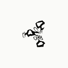 CC(NC(=O)c1cc(Cl)ccc1NS(=O)(=O)c1ccccc1)c1ccccc1